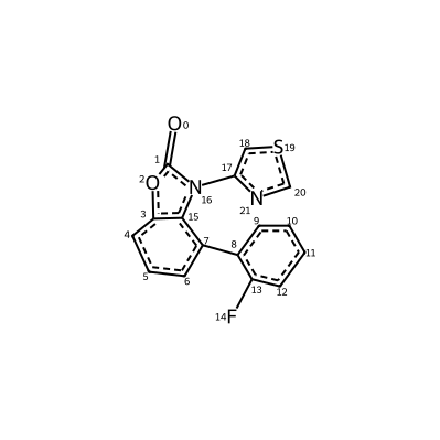 O=c1oc2cccc(-c3ccccc3F)c2n1-c1cscn1